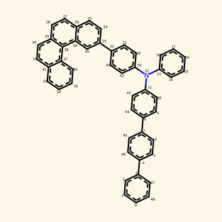 c1ccc(-c2ccc(-c3ccc(N(c4ccccc4)c4ccc(-c5ccc6ccc7ccc8ccccc8c7c6c5)cc4)cc3)cc2)cc1